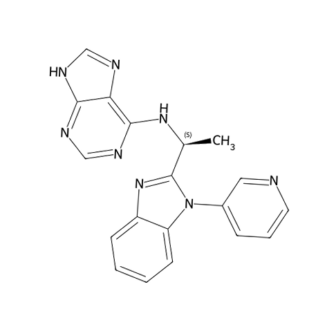 C[C@H](Nc1ncnc2[nH]cnc12)c1nc2ccccc2n1-c1cccnc1